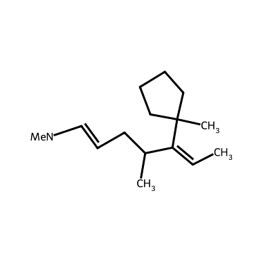 C/C=C(/C(C)C/C=C/NC)C1(C)CCCC1